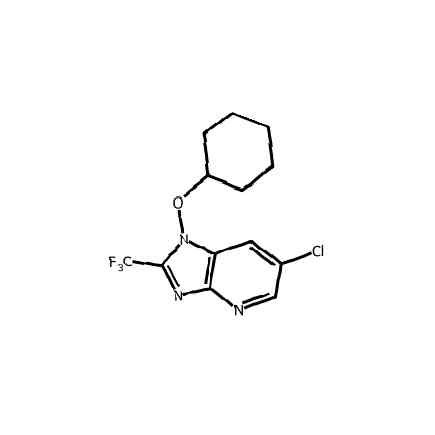 FC(F)(F)c1nc2ncc(Cl)cc2n1OC1CCCCC1